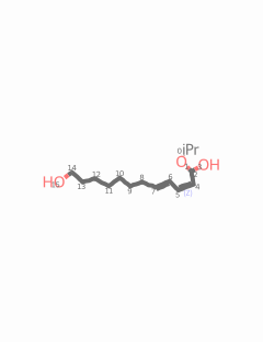 CC(C)OC(O)/C=C\C=CCCCCCCCO